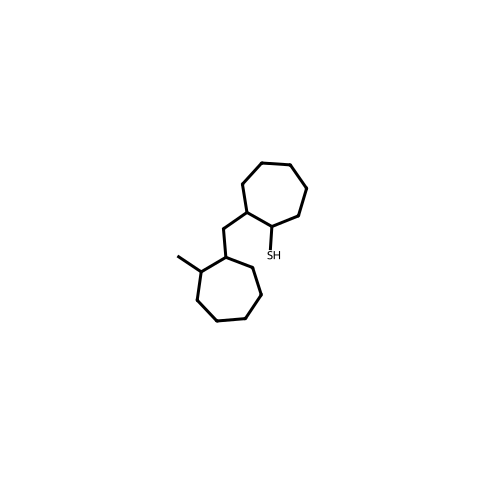 CC1CCCCCC1CC1CCCCCC1S